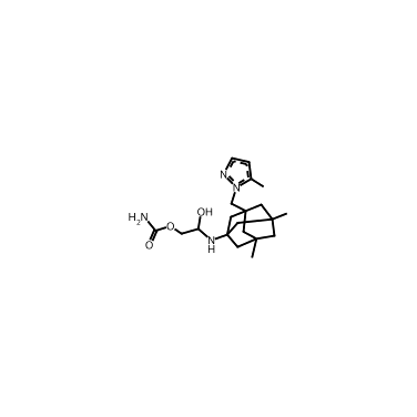 Cc1ccnn1CC12CC3(C)CC(C)(C1)CC(NC(O)COC(N)=O)(C3)C2